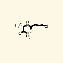 C[C@H](NC(=O)CCCCl)C(N)=O